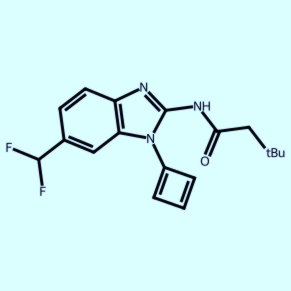 CC(C)(C)CC(=O)Nc1nc2ccc(C(F)F)cc2n1C1=CC=C1